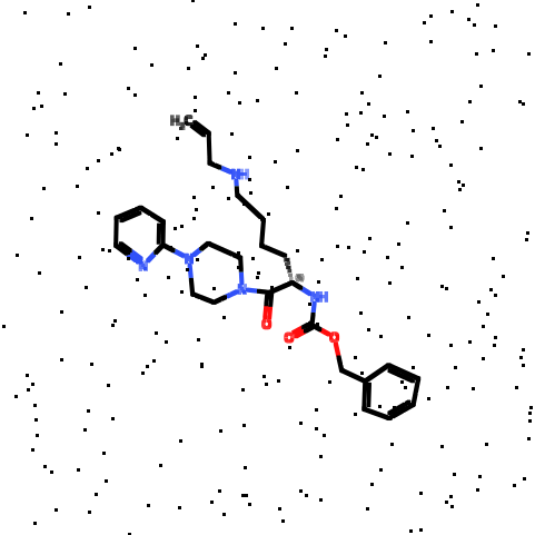 C=CCNCCCC[C@H](NC(=O)OCc1ccccc1)C(=O)N1CCN(c2ccccn2)CC1